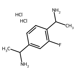 CC(N)c1ccc(C(C)N)c(F)c1.Cl.Cl